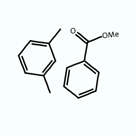 COC(=O)c1ccccc1.Cc1cccc(C)c1